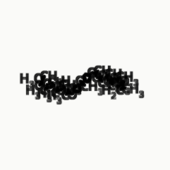 C=C(C)C(=O)OC(C)OC(C)OC(C)OC(C)OC(C)Oc1ccc(C(C)(C)c2ccc(OC(C)OC(C)OC(C)OC(C)OC(C)OC(=O)C(=C)C)cc2)cc1